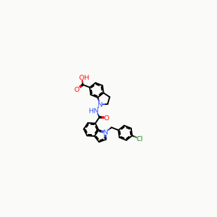 O=C(O)c1ccc2c(c1)N(NC(=O)c1cccc3ccn(Cc4ccc(Cl)cc4)c13)CC2